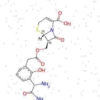 NC(=O)C(N)c1cccc(CC(=O)OC[C@@H]2C(=O)N3C(C(=O)O)=CCS[C@@H]23)c1O